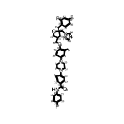 Cc1cc(N2CCN(c3ccc(C(=O)Nc4ccc(F)cc4)cc3)CC2)ccc1OCC1CO[C@](Cc2ccc(F)cc2F)(Cn2cncn2)C1